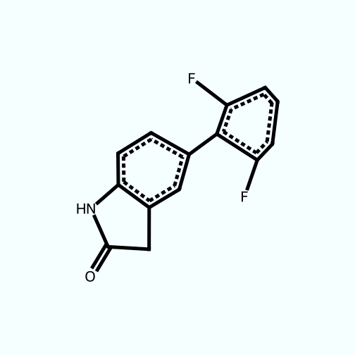 O=C1Cc2cc(-c3c(F)cccc3F)ccc2N1